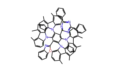 Cc1cccc2c1c1c(C)cccc1n2-c1c(-c2nc(-c3ccccc3)nc(-c3ccccc3)n2)c(-n2c3cccc(C)c3c3c(C)cccc32)c(-n2c3cccc(C)c3c3c(C)cccc32)c(-c2nc3ccccc3o2)c1-n1c2cccc(C)c2c2c(C)cccc21